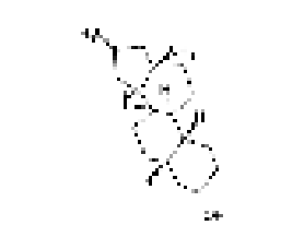 C=C1C[C@@H]2[C@H]3CC[C@H]4C[C@@H](O)CC[C@H]4[C@@H]3CC[C@@]2(C)C1